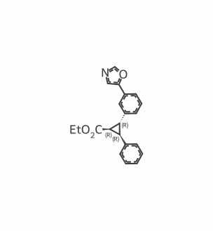 CCOC(=O)[C@@H]1[C@H](c2ccccc2)[C@H]1c1cccc(-c2cnco2)c1